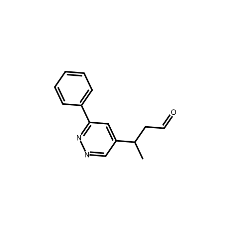 CC(CC=O)c1cnnc(-c2ccccc2)c1